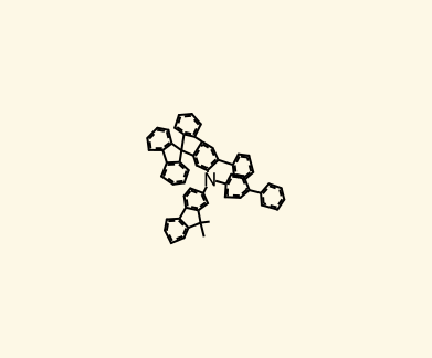 CC1(C)c2ccccc2-c2ccc(N(c3ccc(-c4ccccc4)cc3)c3cc4c(cc3-c3ccccc3)-c3ccccc3C43c4ccccc4-c4ccccc43)cc21